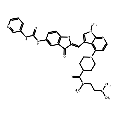 CN(C)CCN(C)C(=O)C1CCN(c2ccnc3c2c(/C=C2\Oc4ccc(NC(=O)Nc5cccnc5)cc4C2=O)cn3C)CC1